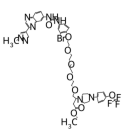 CCOC(=O)CC(COCCOCCOCCOCCOc1ccc(NC(=O)Nc2ccc3ncc(-c4cnn(C)c4)nc3c2)cc1Br)N1CCN(c2ccc(OC(F)(F)F)cc2)CC1